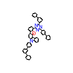 C1=CC2c3cccc(-c4nc(-c5ccc(-c6ccccc6)cc5)nc(-c5cccc(-c6ccccc6)c5)n4)c3OC2c2c1n(-c1ccc(-c3cccc(-c4ccccc4)c3)cc1)c1ccccc21